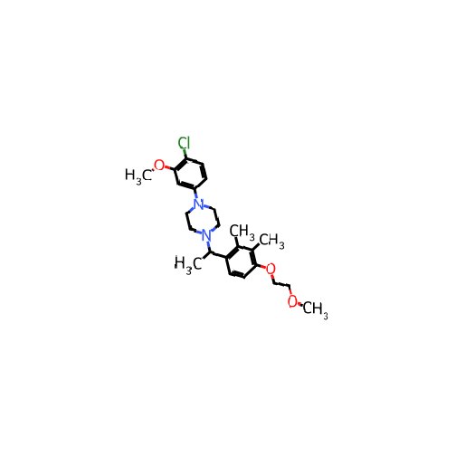 COCCOc1ccc(C(C)N2CCN(c3ccc(Cl)c(OC)c3)CC2)c(C)c1C